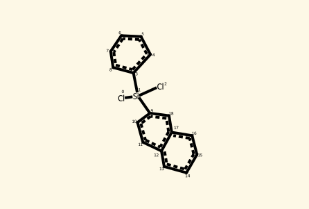 Cl[Si](Cl)(c1ccccc1)c1ccc2ccccc2c1